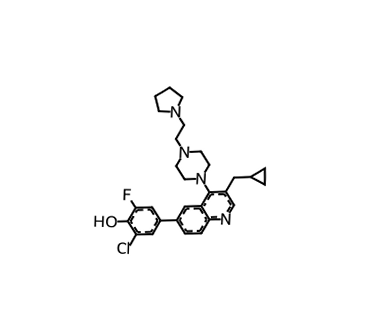 Oc1c(F)cc(-c2ccc3ncc(CC4CC4)c(N4CCN(CCN5CCCC5)CC4)c3c2)cc1Cl